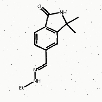 CCN/N=C/c1ccc2c(c1)C(C)(C)NC2=O